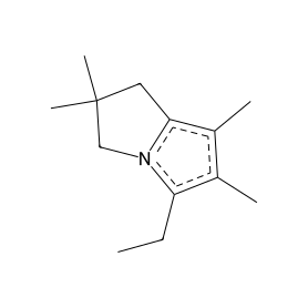 CCc1c(C)c(C)c2n1CC(C)(C)C2